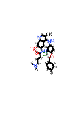 Cc1ccc(COc2ccc(Nc3c(C#N)cnc4cc(O)c(NC(=O)/C=C/CN(C)C)cc34)cc2Cl)cc1